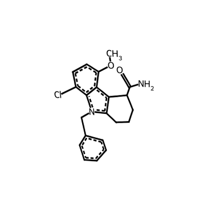 COc1ccc(Cl)c2c1c1c(n2Cc2ccccc2)CCCC1C(N)=O